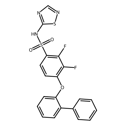 O=S(=O)(Nc1ncns1)c1ccc(Oc2ccccc2-c2ccccc2)c(F)c1F